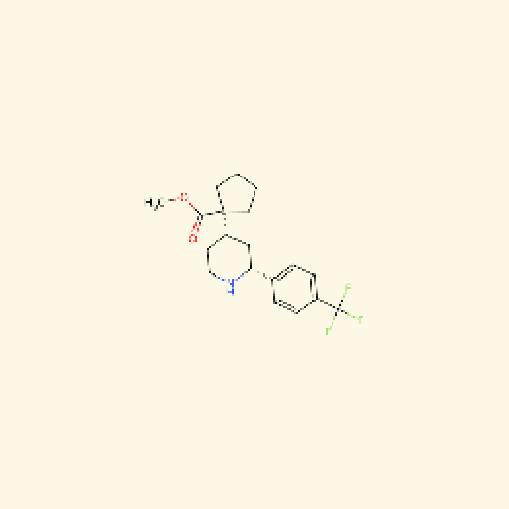 COC(=O)C1([C@H]2CCN[C@@H](c3ccc(C(F)(F)F)cc3)C2)CCCC1